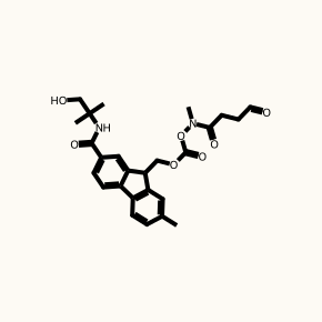 Cc1ccc2c(c1)C(COC(=O)ON(C)C(=O)CCC=O)c1cc(C(=O)NC(C)(C)CO)ccc1-2